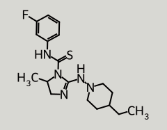 CCC1CCN(NC2=NCC(C)N2C(=S)Nc2cccc(F)c2)CC1